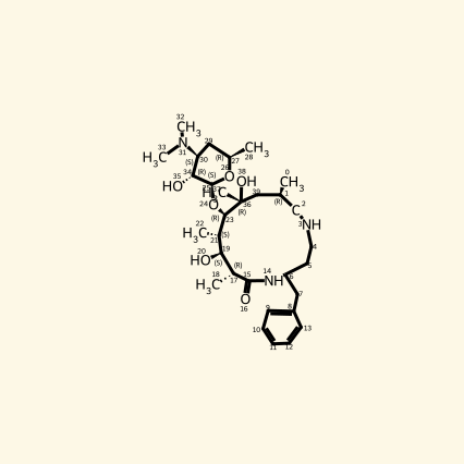 C[C@H]1CNCCC(Cc2ccccc2)NC(=O)[C@H](C)[C@@H](O)[C@H](C)[C@@H](O[C@@H]2O[C@H](C)C[C@H](N(C)C)[C@H]2O)[C@](C)(O)C1